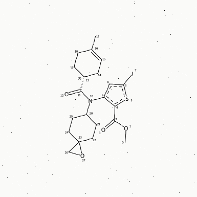 COC(=O)c1sc(I)cc1N(C(=O)[C@H]1CC=C(C)CC1)C1CCC2(CC1)CO2